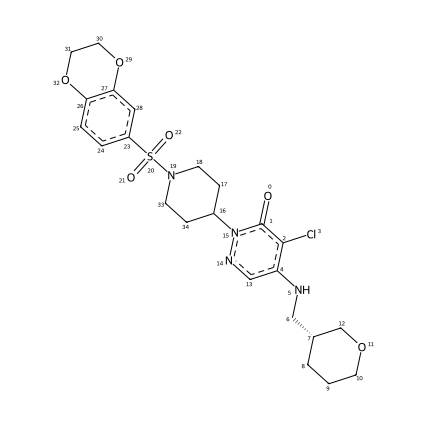 O=c1c(Cl)c(NC[C@H]2CCCOC2)cnn1C1CCN(S(=O)(=O)c2ccc3c(c2)OCCO3)CC1